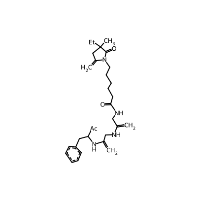 C=C(CNC(=O)CCCCCN1C(=C)CC(C)(CC)C1=O)NCC(=C)NC(Cc1ccccc1)C(C)=O